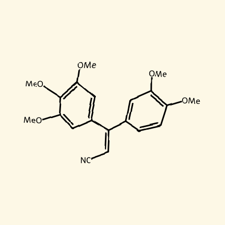 COc1ccc(/C(=C/C#N)c2cc(OC)c(OC)c(OC)c2)cc1OC